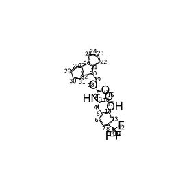 O=C(N[C@H](Cc1ccc(C(F)(F)F)cc1)C(=O)O)OCC1c2ccccc2-c2ccccc21